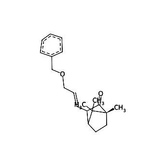 CC1(C)C2CC[C@@]1(C)C(=O)C2/C=C/COCc1ccccc1